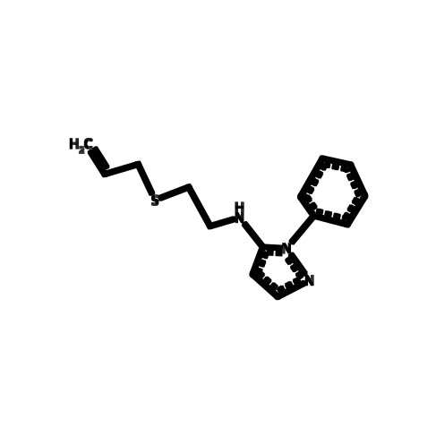 C=CCSCCNc1ccnn1-c1ccccc1